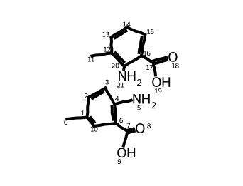 Cc1ccc(N)c(C(=O)O)c1.Cc1cccc(C(=O)O)c1N